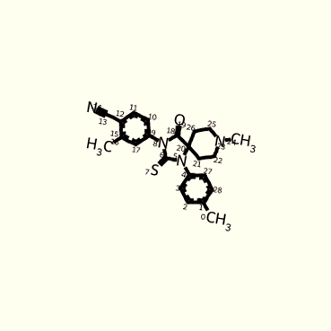 Cc1ccc(N2C(=S)N(c3ccc(C#N)c(C)c3)C(=O)C23CCN(C)CC3)cc1